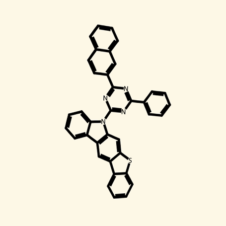 c1ccc(-c2nc(-c3ccc4ccccc4c3)nc(-n3c4ccccc4c4cc5c(cc43)sc3ccccc35)n2)cc1